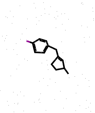 CC1C=C(Cc2ccc(I)cc2)CC1